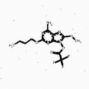 CCCCOc1nc(N)c2nc(OC)n(OC(=O)C(F)(F)F)c2n1